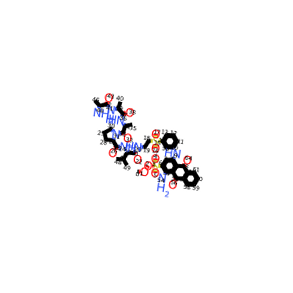 COOS(=O)(=O)c1cc(Nc2cccc(S(=O)(=O)CCNC(=O)C(NC(=O)C3CCCN3C(=O)C(C)NC(=O)C(C)NC(=O)C(C)N)C(C)C)c2)c2c(c1N)C(=O)c1ccccc1C2=O